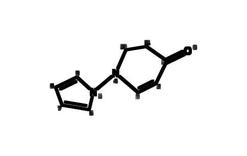 O=C1C=CN(n2cccc2)CC1